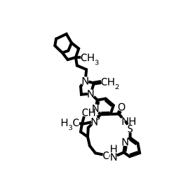 C=C1N(CCC2(C)CC3CCCC(C3)C2)CCN1c1ccc2c(n1)N1CC(CCCNc3cccc(n3)SNC2=O)CC1(C)C